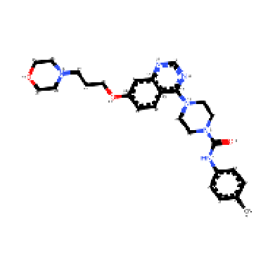 N#Cc1ccc(NC(=O)N2CCN(c3ncnc4cc(OCCCN5CCOCC5)ccc34)CC2)cc1